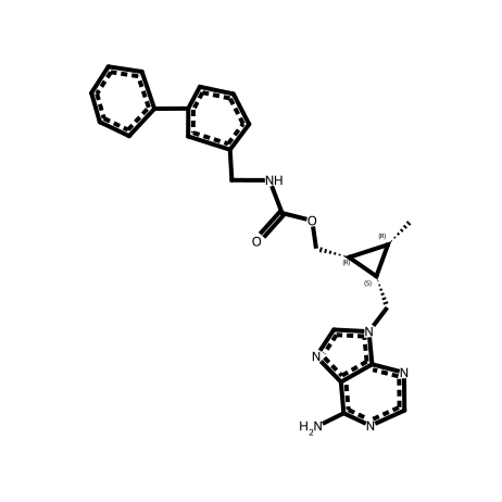 C[C@H]1[C@@H](COC(=O)NCc2cccc(-c3ccccc3)c2)[C@H]1Cn1cnc2c(N)ncnc21